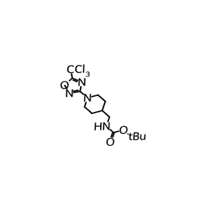 CC(C)(C)OC(=O)NCC1CCN(c2noc(C(Cl)(Cl)Cl)n2)CC1